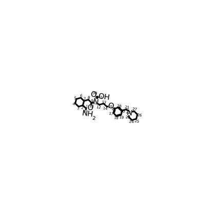 NCC1CCCCC1CC(=O)N(CCCOc1cccc(CN2CCCCC2)c1)C(=O)O